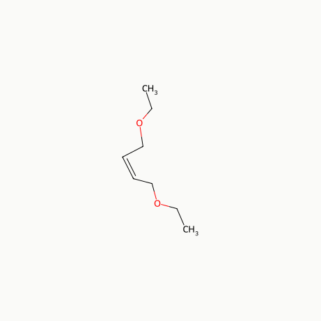 CCOC/C=C\COCC